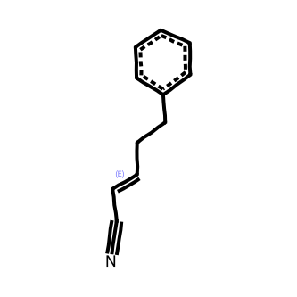 N#C/C=C/CCc1ccccc1